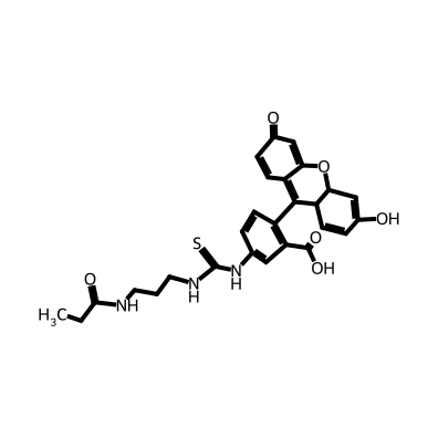 CCC(=O)NCCCNC(=S)Nc1ccc(C2=C3C=CC(=O)C=C3OC3C=C(O)C=CC23)c(C(=O)O)c1